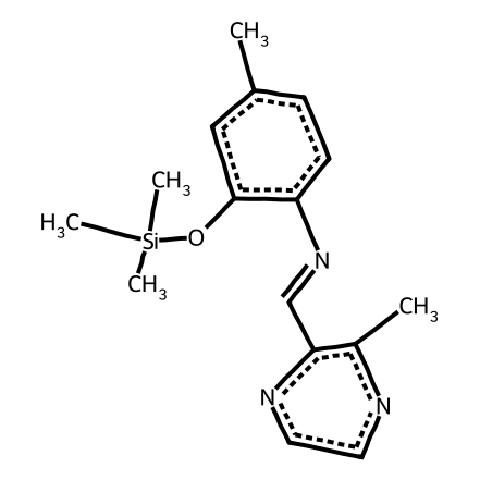 Cc1ccc(N=Cc2nccnc2C)c(O[Si](C)(C)C)c1